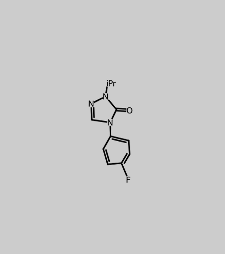 CC(C)n1ncn(-c2ccc(F)cc2)c1=O